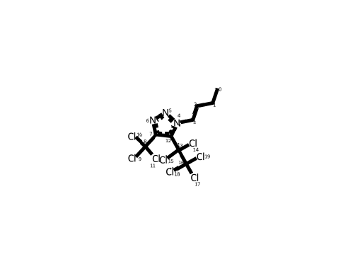 CCCCn1nnc(C(Cl)(Cl)Cl)c1C(Cl)(Cl)C(Cl)(Cl)Cl